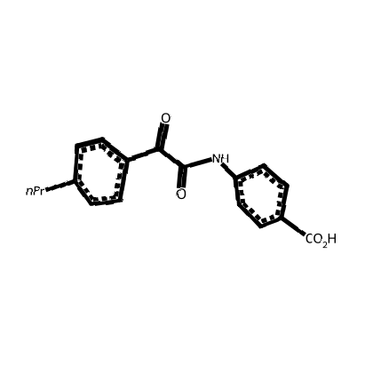 CCCc1ccc(C(=O)C(=O)Nc2ccc(C(=O)O)cc2)cc1